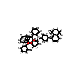 CC1(C)CCC(C)(C)c2c(-c3ccc(N(c4ccc5c(c4)C4(c6ccccc6S5)C5CC6CC7CC4C75C6)c4ccccc4-c4ccccc4)cc3)cccc21